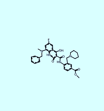 COC(=O)c1ccc(NC(=O)c2c(O)c3cc(F)cc(N(C)Cc4ccccc4)c3[nH]c2=O)c(CN2CCCCC2)c1